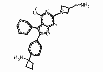 COc1nc(N2CC(CN)C2)nc2oc(-c3ccc(C4(N)CCC4)cc3)c(-c3ccccc3)c12